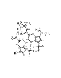 CN(C)c1nc(C(F)(F)F)n2c1CN(C(=O)OC(C)(C)C)CC2.O=C(O)N1CCn2c(C(F)(F)F)nc(Br)c2C1